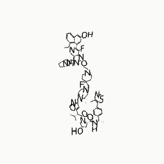 CCc1cccc2cc(O)cc(-c3ncc4c(N5CC6CCC(C5)N6)nc(OCCN5CCC(F)(CN6CCN(c7cc([C@H](C(=O)N8C[C@H](O)C[C@H]8C(=O)N[C@@H](C)c8ccc(-c9scnc9C)cc8)C(C)C)on7)[C@@H](C)C6)CC5)nc4c3F)c12